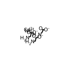 NCC(=O)[O-].NCC(=O)[O-].NCC(=O)[O-].[Cd+2].[NH4+]